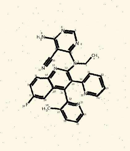 CCN(c1ncnc(N)c1C#N)c1nc2ccc(F)cc2c(-c2ncccc2C)c1-c1ccccn1